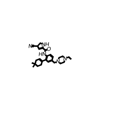 CCN1CCN(Cc2ccc(NC(=O)C3=CC(C#N)CN3)c(C3=CCC(C)(C)CC3)c2)CC1